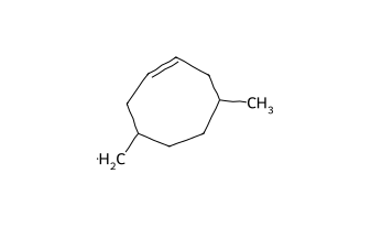 [CH2]C1CC=CCC(C)CC1